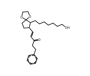 O=C(C=CC1CCC2(OCCO2)C1CCCCCCCO)CCc1ccccc1